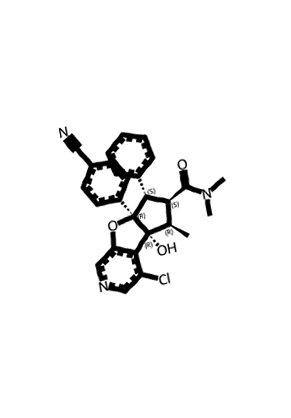 C[C@@H]1[C@H](C(=O)N(C)C)[C@@H](c2ccccc2)[C@]2(c3ccc(C#N)cc3)Oc3cncc(Cl)c3[C@]12O